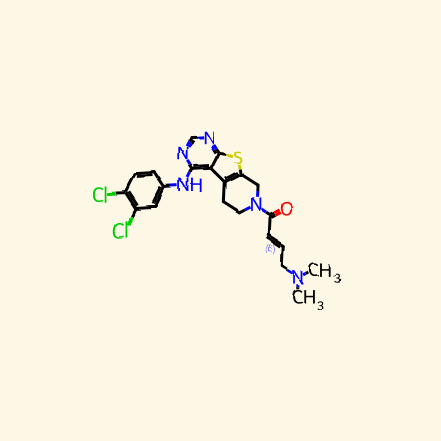 CN(C)C/C=C/C(=O)N1CCc2c(sc3ncnc(Nc4ccc(Cl)c(Cl)c4)c23)C1